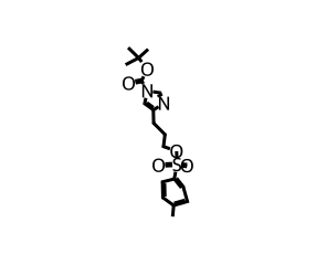 Cc1ccc(S(=O)(=O)OCCCc2cn(C(=O)OC(C)(C)C)cn2)cc1